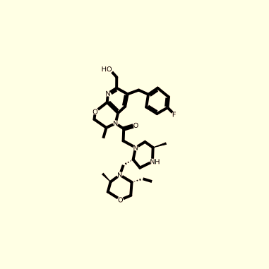 CC[C@@H]1COC[C@@H](C)N1C[C@H]1CN[C@H](C)CN1CC(=O)N1c2cc(Cc3ccc(F)cc3)c(CO)nc2OCC1C